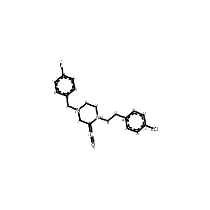 O=C=C1CN(Cc2ccc(F)cc2)CCN1CCc1ccc(Cl)cc1